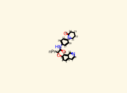 CCCC(Oc1ccc2ccncc2c1)C(=O)Nc1ccc(N2CCCCC2=O)cc1